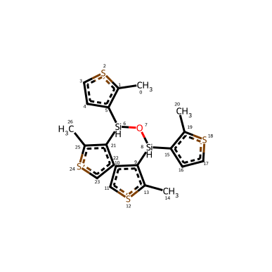 Cc1sccc1[SiH](O[SiH](c1ccsc1C)c1ccsc1C)c1ccsc1C